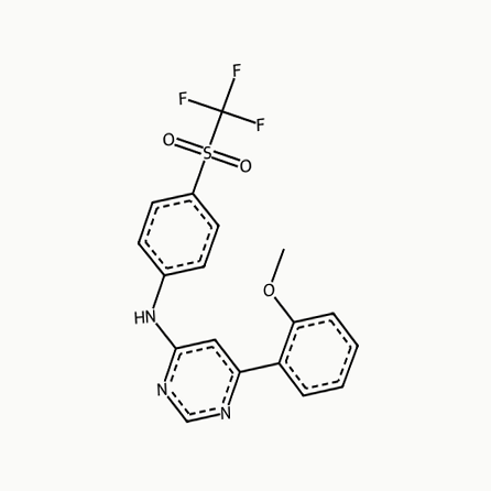 COc1ccccc1-c1cc(Nc2ccc(S(=O)(=O)C(F)(F)F)cc2)ncn1